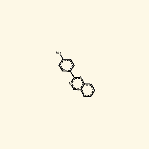 Oc1ccc(-c2ncc3ccccc3n2)cc1